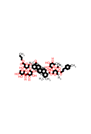 CCCCOC(=O)C1OC(O[C@H]2CC[C@]3(C)[C@H]4C=CC5[C@@H]6CC(C)(C)C[C@@H](C(=O)OC7OC(C)C(OC(=O)/C=C/c8ccc(C)cc8)C(OC(C)=O)C7OC7OC(C)C(O)C(O)C7O)C6[C@H](O)C[C@@]5(C)[C@]4(C)CC[C@H]3[C@]2(C)C=O)C(OC2OC(CO)C(O)C(O)C2O)C(OC2OCC(O)C(O)C2O)C1O